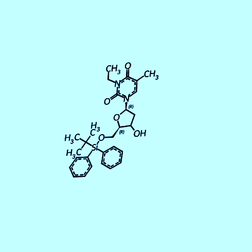 CCn1c(=O)c(C)cn([C@H]2CC(O)[C@@H](CO[Si](c3ccccc3)(c3ccccc3)C(C)(C)C)O2)c1=O